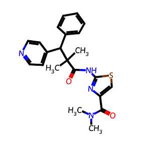 CN(C)C(=O)c1csc(NC(=O)C(C)(C)C(c2ccccc2)c2ccncc2)n1